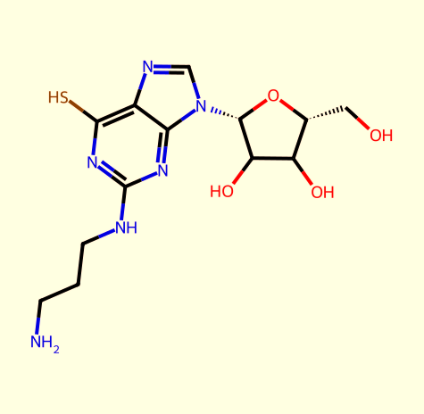 NCCCNc1nc(S)c2ncn([C@@H]3O[C@H](CO)C(O)C3O)c2n1